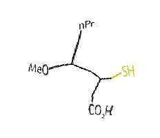 CCCC(OC)C(S)C(=O)O